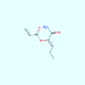 C=CC(=O)O/C(=C\CC)C(N)=O